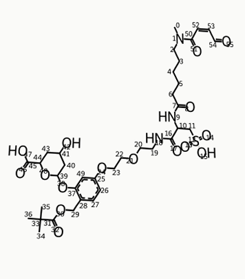 CN(CCCCCC(=O)NC(CS(=O)(=O)O)C(=O)NCCOCCOc1ccc(COC(=O)C(C)(C)C)c(OC2CC(O)CC(C(=O)O)O2)c1)C(=O)/C=C\C=O